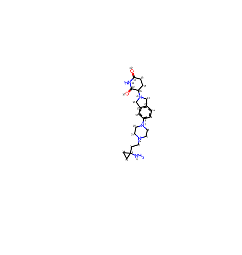 NC1(CCN2CCN(c3ccc4c(c3)CN(C3CCC(=O)NC3=O)C4)CC2)CC1